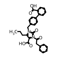 CCCc1c(C(=O)O)n(C(=O)Cc2ccccc2)c(=O)n1Cc1ccc(-c2ccccc2C(=O)O)cc1